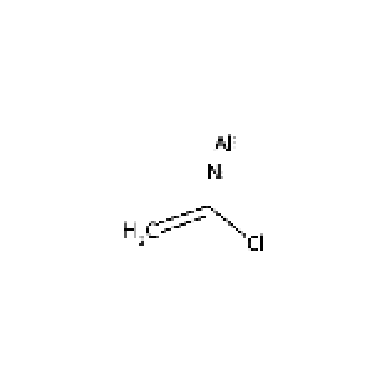 C=CCl.[Al].[N]